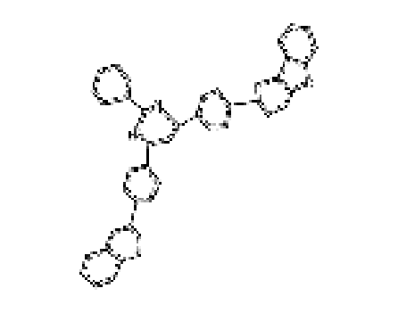 c1ccc(-c2nc(-c3ccc(-c4ccc5ccccc5c4)cc3)cc(-c3ccc(-c4ccc5oc6ccccc6c5c4)cc3)n2)cc1